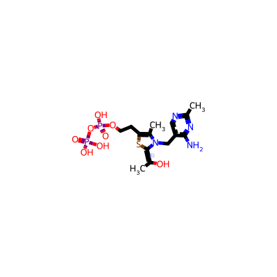 CC1=C(CCOP(=O)(O)OP(=O)(O)O)S/C(=C(\C)O)N1Cc1cnc(C)nc1N